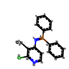 O=[N+]([O-])c1c(N=S(c2ccccc2)c2ccccc2)ccnc1Cl